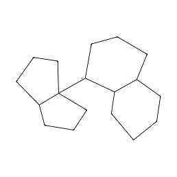 C1CCC2[C](C34CCCC3CCC4)CCCC2C1